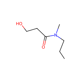 CCCN(C)C(=O)CCO